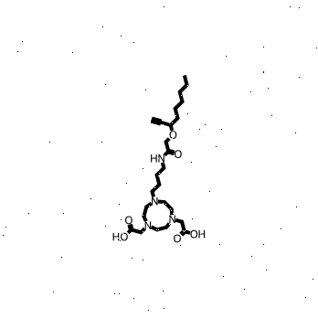 C#CC(CCCCCC)OCC(=O)NCCCCN1CCN(CC(=O)O)CCN(CC(=O)O)CC1